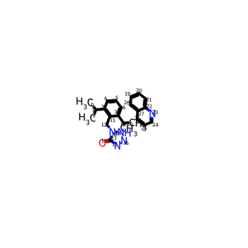 CC(C)c1cccc(C(C)C)c1Cn1[nH]nnc1=O.c1ccc2ncccc2c1